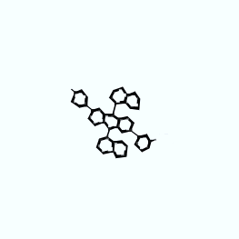 Fc1ccc(-c2ccc3c(-c4cccc5ccccc45)c4cc(-c5cccc(C(F)(F)F)c5)ccc4c(-c4cccc5ccccc45)c3c2)cc1